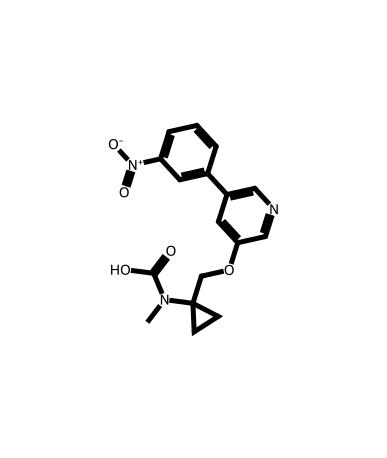 CN(C(=O)O)C1(COc2cncc(-c3cccc([N+](=O)[O-])c3)c2)CC1